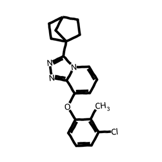 Cc1c(Cl)cccc1Oc1cccn2c(C34CCC(CC3)C4)nnc12